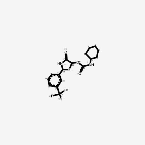 O=C(NC1CCCCC1)OC1SC(c2cccc(C(F)(F)F)c2)NC1=O